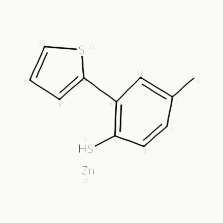 Cc1ccc(S)c(-c2cccs2)c1.[Zn]